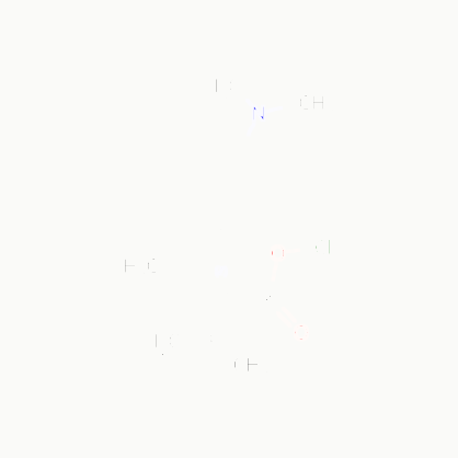 C=C(C)/C(C(=O)OCl)=C(\C)c1ccc(N(C)C)cc1